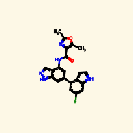 Cc1nc(C(=O)Nc2cc(-c3cc(F)cc4[nH]ccc34)cc3[nH]ncc23)c(C)o1